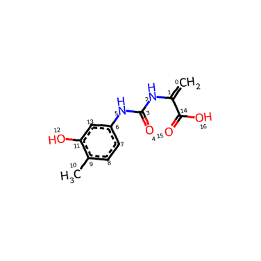 C=C(NC(=O)Nc1ccc(C)c(O)c1)C(=O)O